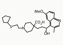 COc1ccc2ncc(C)c([C@@H](O)CCC3(C(=O)O)CCN(CCSC4CCCC4)CC3)c2c1